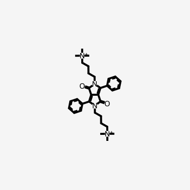 C[N+](C)(C)CCCCN1C(=O)C2=C(c3ccccc3)N(CCCC[N+](C)(C)C)C(=O)C2=C1c1ccccc1